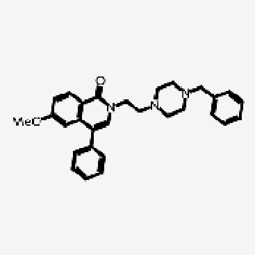 COc1ccc2c(=O)n(CCN3CCN(Cc4ccccc4)CC3)cc(-c3ccccc3)c2c1